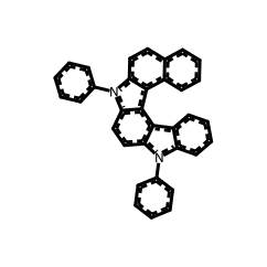 c1ccc(-n2c3ccccc3c3c4c5c6ccccc6ccc5n(-c5ccccc5)c4ccc32)cc1